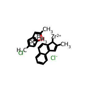 CC1=C2c3cc(C)oc3C1[Si]2(C)C.CC1=Cc2c(ccc3ccccc23)[CH]1[Zr+2].[Cl-].[Cl-]